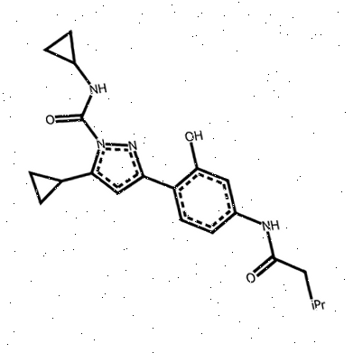 CC(C)CC(=O)Nc1ccc(-c2cc(C3CC3)n(C(=O)NC3CC3)n2)c(O)c1